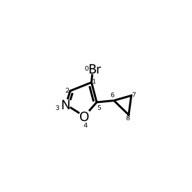 Brc1cnoc1C1CC1